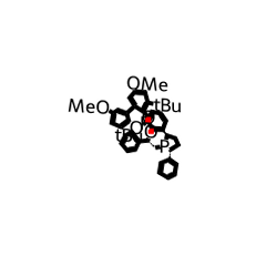 COc1cc(C(C)(C)C)c2op(O[C@H](CP3[C@@H](c4ccccc4)CC[C@@H]3c3ccccc3)c3ccccc3)oc3c(C(C)(C)C)cc(OC)cc3c2c1